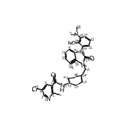 Cc1ncc(Cl)cc1C(=O)NC1CCC(Cn2c(=O)n(-c3cccc(N(C)C)c3C#N)c3ccccc32)CC1